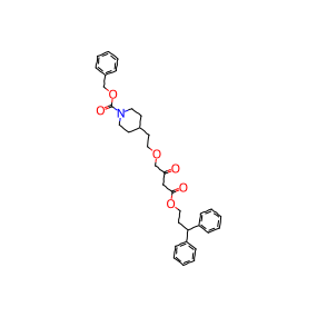 O=C(COCCC1CCN(C(=O)OCc2ccccc2)CC1)CC(=O)OCCC(c1ccccc1)c1ccccc1